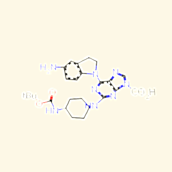 CC(C)(C)OC(=O)N[C@H]1CC[C@H](Nc2nc(N3CCc4cc(N)ccc43)c3ncn(C(=O)O)c3n2)CC1